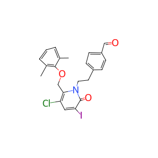 Cc1cccc(C)c1OCc1c(Cl)cc(I)c(=O)n1CCc1ccc(C=O)cc1